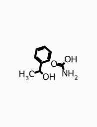 CC(O)c1ccccc1.NC(=O)O